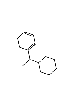 CC(C1=NC=CCC1)C1CCCCC1